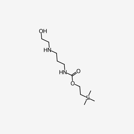 C[Si](C)(C)CCOC(=O)NCCCNCCO